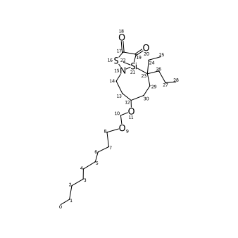 CCCCCCCCCOCOC1CCN2SC(=O)C(=O)[Si]2(C)C(CC)(CCC)CC1